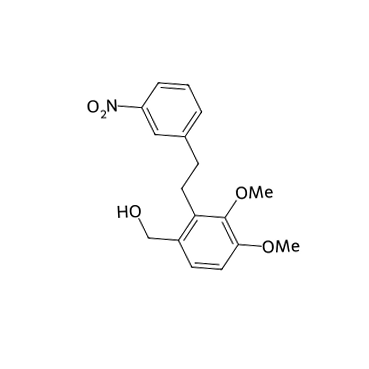 COc1ccc(CO)c(CCc2cccc([N+](=O)[O-])c2)c1OC